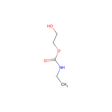 C[CH]NC(=O)OCCO